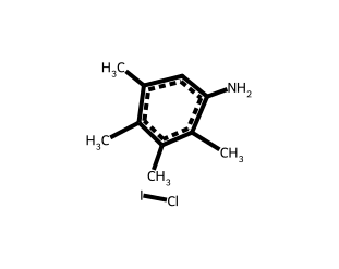 Cc1cc(N)c(C)c(C)c1C.ClI